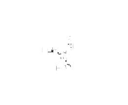 Cl.O=C(O)N1C[C@H](CNC2CC2)[C@@H](O)C1